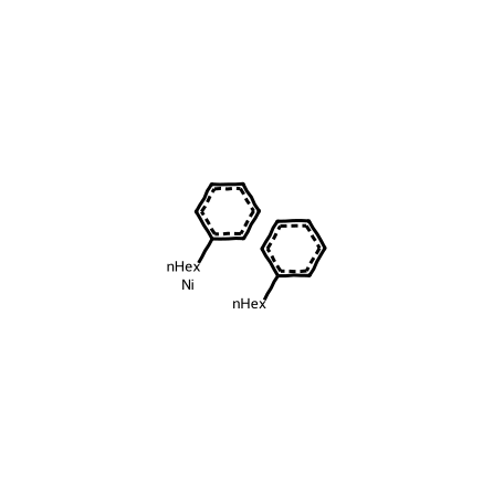 CCCCCCc1ccccc1.CCCCCCc1ccccc1.[Ni]